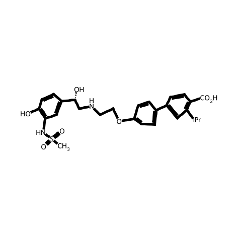 CC(C)c1cc(-c2ccc(OCCNC[C@@H](O)c3ccc(O)c(NS(C)(=O)=O)c3)cc2)ccc1C(=O)O